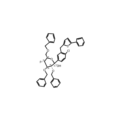 O[C@@]1(c2ccc(Cl)c(Cc3ccc(-c4ccccc4)s3)c2)O[C@H](COCc2ccccc2)[C@@H](F)[C@H](OCc2ccccc2)[C@H]1OCc1ccccc1